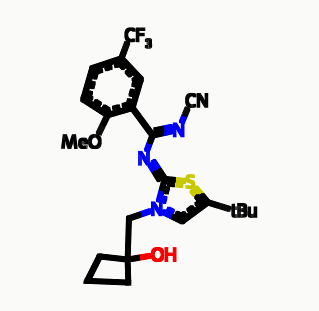 COc1ccc(C(F)(F)F)cc1C(/N=c1\sc(C(C)(C)C)cn1CC1(O)CCC1)=N\C#N